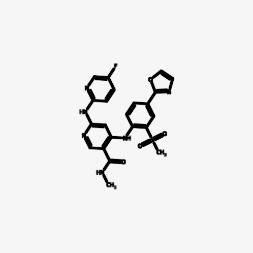 CNC(=O)c1cnc(Nc2ccc(F)cn2)cc1Nc1ccc(-c2ncco2)cc1S(C)(=O)=O